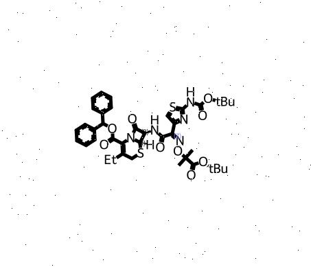 CCC1=C(C(=O)OC(c2ccccc2)c2ccccc2)N2C(=O)[C@@H](NC(=O)/C(=N\OC(C)(C)C(=O)OC(C)(C)C)c3csc(NC(=O)OC(C)(C)C)n3)[C@H]2SC1